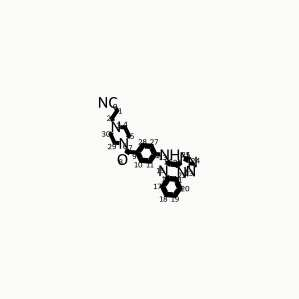 N#CCCN1CCN(C(=O)c2ccc(Nc3nc4ccccc4n4nnnc34)cc2)CC1